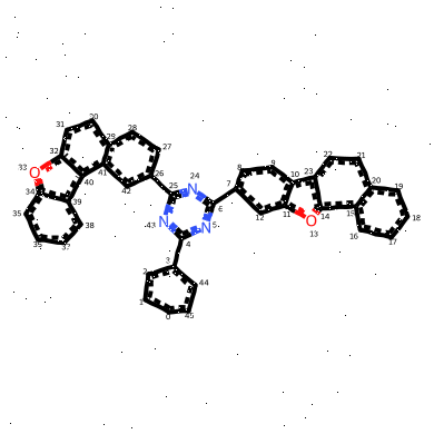 c1ccc(-c2nc(-c3ccc4c(c3)oc3c5ccccc5ccc43)nc(-c3ccc4ccc5oc6ccccc6c5c4c3)n2)cc1